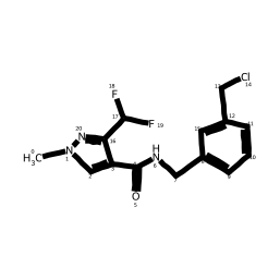 Cn1cc(C(=O)NCc2cccc(CCl)c2)c(C(F)F)n1